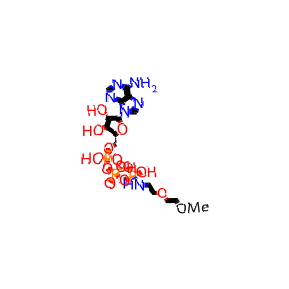 COCCOCCNP(=O)(O)OP(=O)(O)OP(=O)(O)OC[C@H]1O[C@@H](n2cnc3c(N)ncnc32)[C@@H](O)C1O